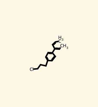 C/C=C\C(=C/C)c1ccc(CCCCl)cc1